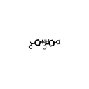 CC(=O)c1ccc(NC(=O)c2ccc(Cl)cc2)cc1